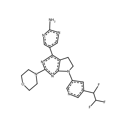 Nc1ncc(-c2nc(N3CCOCC3)nc3c2CCN3c2cncc(C(F)C(F)F)c2)cn1